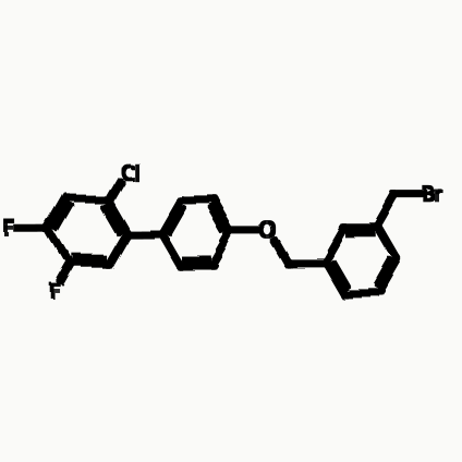 Fc1cc(Cl)c(-c2ccc(OCc3cccc(CBr)c3)cc2)cc1F